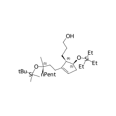 CCCCC[C@@](C)(CCC1=CC[C@H](O[Si](CC)(CC)CC)[C@@H]1CCCO)O[Si](C)(C)C(C)(C)C